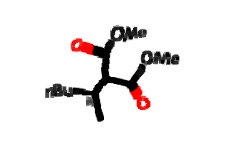 CCCC[C@H](C)C(C(=O)OC)C(=O)OC